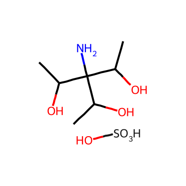 CC(O)C(N)(C(C)O)C(C)O.O=S(=O)(O)O